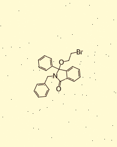 O=C1c2ccccc2C(OCCBr)(c2ccccc2)N1Cc1ccccc1